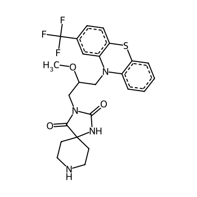 COC(CN1C(=O)NC2(CCNCC2)C1=O)CN1c2ccccc2Sc2ccc(C(F)(F)F)cc21